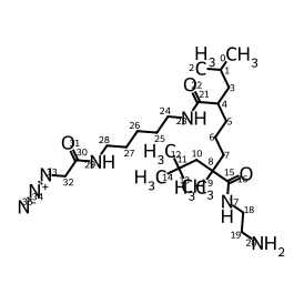 CC(C)CC(CCCC(C)(CC(C)(C)C)C(=O)NCCN)C(=O)NCCCCCNC(=O)CN=[N+]=[N-]